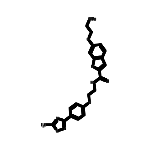 COCCOc1ccc2cc(C(=O)NCCOc3ccc(-c4noc(C(F)(F)F)n4)cc3)oc2c1